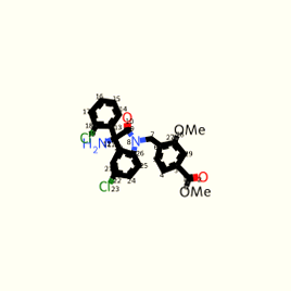 COC(=O)c1ccc(CN2C(=O)C(N)(c3ccccc3Cl)c3cc(Cl)ccc32)c(OC)c1